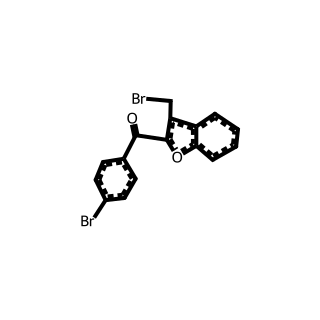 O=C(c1ccc(Br)cc1)c1oc2ccccc2c1CBr